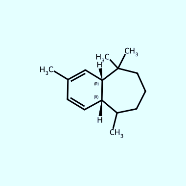 CC1=C[C@H]2[C@@H](C=C1)C(C)CCCC2(C)C